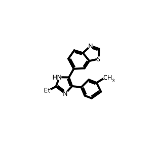 CCc1nc(-c2cccc(C)c2)c(-c2ccc3ncsc3c2)[nH]1